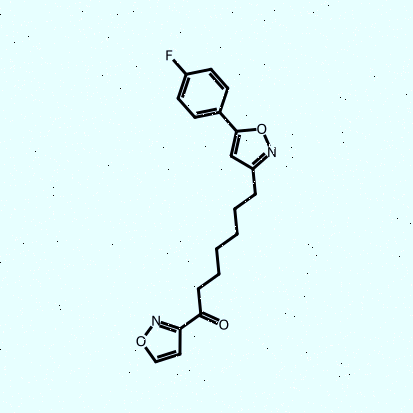 O=C(CCCCCCc1cc(-c2ccc(F)cc2)on1)c1ccon1